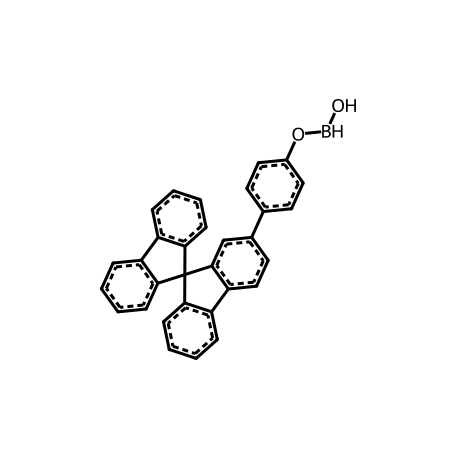 OBOc1ccc(-c2ccc3c(c2)C2(c4ccccc4-c4ccccc42)c2ccccc2-3)cc1